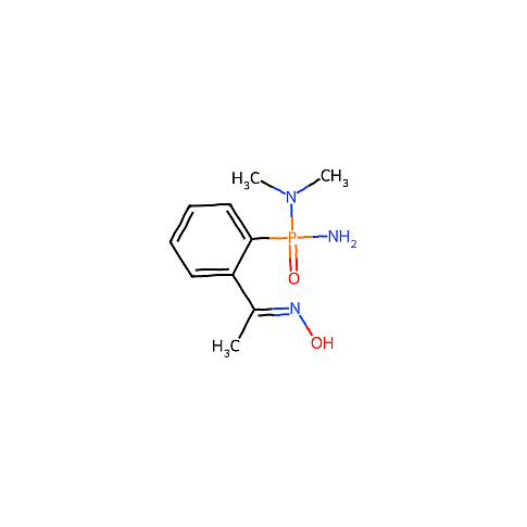 CC(=NO)c1ccccc1P(N)(=O)N(C)C